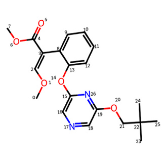 CO/C=C(/C(=O)OC)c1ccccc1Oc1cncc(OCC(C)(C)C)n1